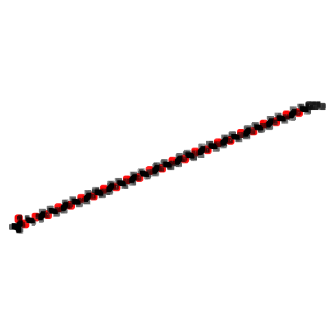 C=C(C)C(=O)OCCOCCOCCOCCOCCOCCOCCOCCOCCOCCOCCOCCOCCOCCOCCOCCOCCOCCOCCOCCOCCOCCOCCOCCOCCOC